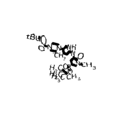 C[C@H]1CN(C(=O)OC(C)(C)C)CCN1c1ccc(Nc2cc(B3OC(C)(C)C(C)(C)O3)cn(C)c2=O)nc1